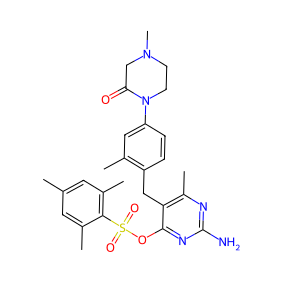 Cc1cc(C)c(S(=O)(=O)Oc2nc(N)nc(C)c2Cc2ccc(N3CCN(C)CC3=O)cc2C)c(C)c1